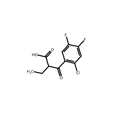 CCC(C(=O)O)C(=O)c1cc(F)c(F)cc1Cl